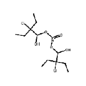 CCC(Cl)(CC)C(O)O[PH](=O)OC(O)C(Cl)(CC)CC